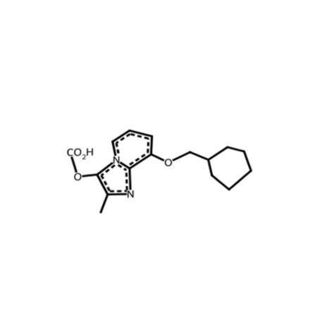 Cc1nc2c(OCC3CCCCC3)cccn2c1OC(=O)O